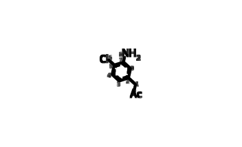 CC(=O)Cc1ccc(Cl)c(N)c1